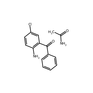 CC(N)=O.Nc1ccc(Cl)cc1C(=O)c1ccccc1